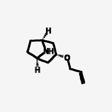 C=CCO[C@@H]1C[C@H]2CC[C@@H](C1)N2